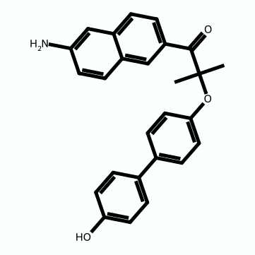 CC(C)(Oc1ccc(-c2ccc(O)cc2)cc1)C(=O)c1ccc2cc(N)ccc2c1